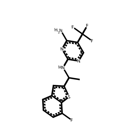 CC(Nc1ncc(C(F)(F)F)c(N)n1)c1cc2cccc(F)c2s1